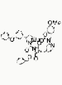 COc1ccc(CN(C(=O)OC(C)(C)C)c2cc(C[C@H]3C(=O)N(C(=O)N4CCCC(c5cccc(Oc6ccccc6)c5)C4)[C@@H]3C(=O)OCc3ccccc3)ccn2)cc1